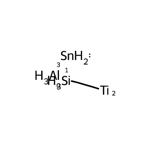 [AlH3].[SiH3][Ti].[SnH2]